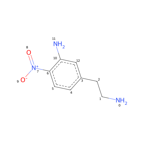 NCCc1ccc([N+](=O)[O-])c(N)c1